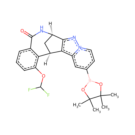 CC1(C)OB(c2ccn3nc4c(c3c2)[C@@H]2C[C@H]4NC(=O)c3cccc(OC(F)F)c32)OC1(C)C